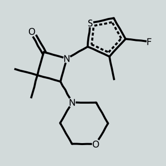 Cc1c(F)csc1N1C(=O)C(C)(C)C1N1CCOCC1